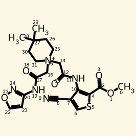 COC(=O)c1scc(C#N)c1NC(=O)C[N+]1(CC(=O)Nc2ccon2)CCC(C)(C)CC1